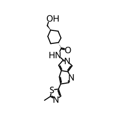 Cc1ncc(-c2cnc3cnc(NC(=O)[C@H]4CC[C@H](CO)CC4)cc3c2)s1